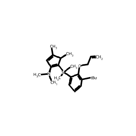 C=CCOc1c(C(C)(C)C)cccc1[Si](C)(C)C1=C(N(C)C)C=C(C)C1C